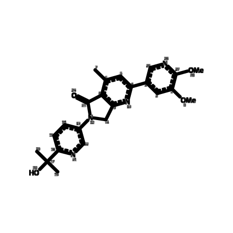 COc1cc(-c2cc(C)c3c(n2)CN(c2ccc(C(C)(C)O)nc2)C3=O)cnc1OC